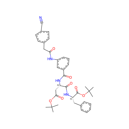 CC(C)(C)OC(=O)C[C@H](NC(=O)c1cccc(NC(=O)Cc2ccc(C#N)cc2)c1)C(=O)N[C@@H](Cc1ccccc1)C(=O)OC(C)(C)C